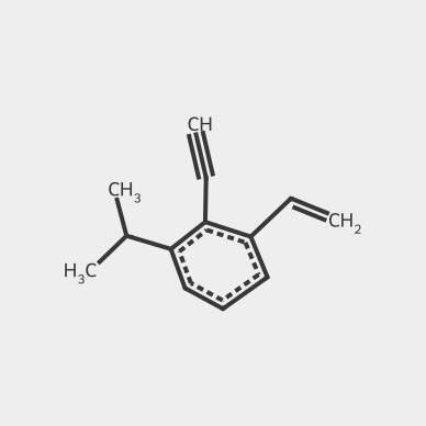 C#Cc1c(C=C)cccc1[C](C)C